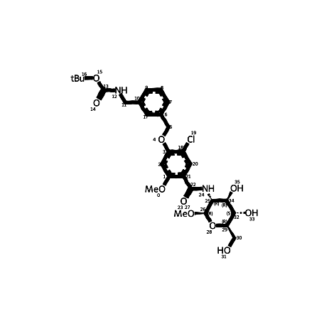 COc1cc(OCc2cccc(CNC(=O)OC(C)(C)C)c2)c(Cl)cc1C(=O)N[C@H]1[C@H](OC)O[C@H](CO)[C@@H](O)[C@@H]1O